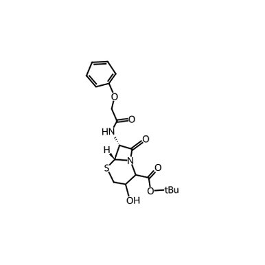 CC(C)(C)OC(=O)C1C(O)CS[C@@H]2[C@H](NC(=O)COc3ccccc3)C(=O)N12